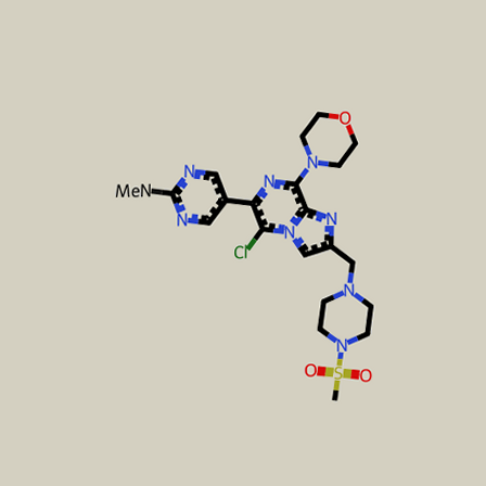 CNc1ncc(-c2nc(N3CCOCC3)c3nc(CN4CCN(S(C)(=O)=O)CC4)cn3c2Cl)cn1